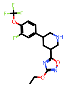 CCOc1noc(C2CNCC(c3ccc(OC(F)(F)F)c(F)c3)C2)n1